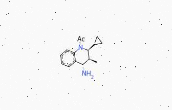 CC(=O)N1c2ccccc2[C@@H](N)[C@H](C)[C@@H]1C1CC1